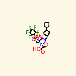 O=C(O)c1coc(N(Cc2ccc(C3CCCCC3)cc2)C(=O)C2CCN2S(=O)(=O)c2c(F)c(F)c(F)c(F)c2F)n1